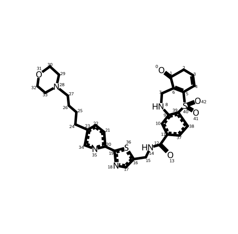 O=C1CC=CC2=C1CNc1cc(C(=O)NCc3cnc(-c4ccc(CCCCN5CCOCC5)cn4)s3)ccc1S2(=O)=O